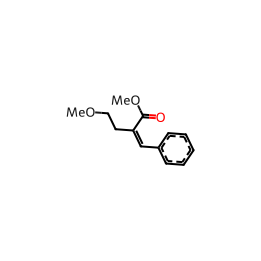 COCCC(=Cc1ccccc1)C(=O)OC